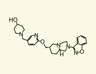 OC1CCN(Cc2ccc(OC[C@@H]3CC[C@H]4CN(c5noc6ccccc56)CCN4C3)nc2)CC1